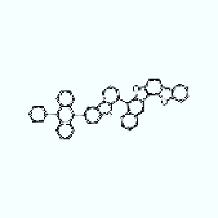 c1ccc(-c2c3ccccc3c(-c3ccc4sc5c(-c6c7ccccc7cc7c6oc6ccc8c9ccccc9oc8c67)cccc5c4c3)c3ccccc23)cc1